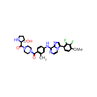 COc1ccc(-c2cnc3c(Nc4ccc(C(=O)N5CCN(C(=O)C6NCC[C@@H]6O)CC5)c(C)c4)nccn23)c(F)c1F